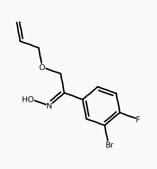 C=CCOCC(=NO)c1ccc(F)c(Br)c1